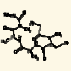 CNC(=O)N(C)C(=O)[C@@H](C)NC(=O)[C@H](C)NC(=O)[C@H](CC(C)C)N(C)C(=O)CC(C)C